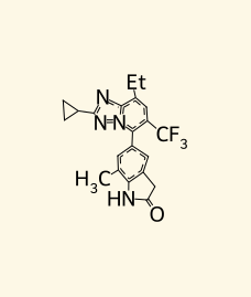 CCc1cc(C(F)(F)F)c(-c2cc(C)c3c(c2)CC(=O)N3)n2nc(C3CC3)nc12